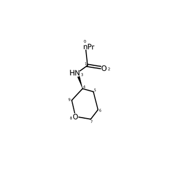 CCCC(=O)N[C@H]1CCCOC1